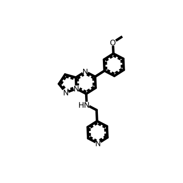 COc1cccc(-c2cc(NCc3ccncc3)n3nccc3n2)c1